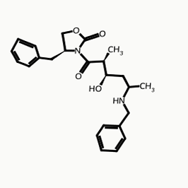 CC(C[C@@H](O)[C@H](C)C(=O)N1C(=O)OC[C@@H]1Cc1ccccc1)NCc1ccccc1